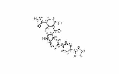 NC(=O)c1ccc(F)c(C(=O)c2c[nH]c3ncc(-c4ccc(N5CCCC5)nc4)cc23)c1F